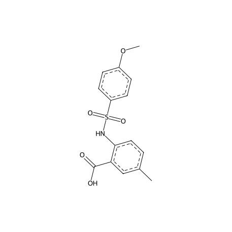 COc1ccc(S(=O)(=O)Nc2ccc(C)cc2C(=O)O)cc1